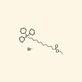 CCOC(=O)CCCCCCCCCCC[P+](c1ccccc1)(c1ccccc1)c1ccccc1.[Br-]